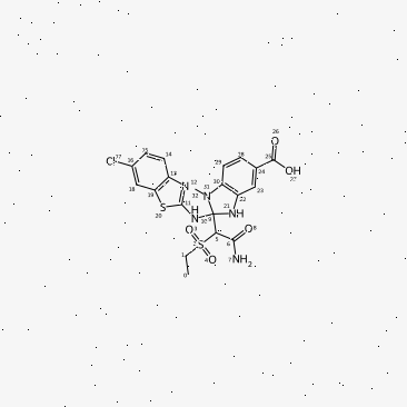 CCS(=O)(=O)C(C(N)=O)C1(Nc2nc3ccc(Cl)cc3s2)Nc2cc(C(=O)O)ccc2N1C